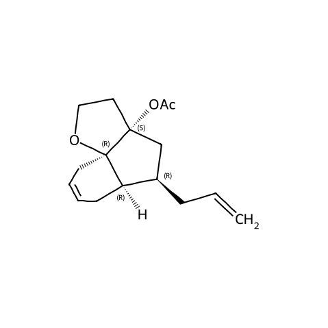 C=CC[C@@H]1C[C@]2(OC(C)=O)CCO[C@@]23CC=CC[C@H]13